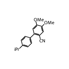 COc1cc(C#N)c(-c2ccc(C(C)C)cc2)cc1OC